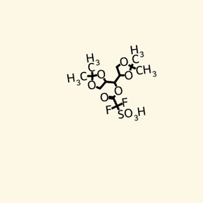 CC1(C)OCC(C(OC(=O)C(F)(F)S(=O)(=O)O)C2COC(C)(C)O2)O1